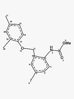 COC(=O)Nc1ccc(I)cc1COc1ccc(C)cc1C